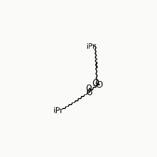 CC(C)CCCCCCCCCCCCCCCCCOC(=O)CCCC(=O)OCCCCCCCCCCCCCCCCCC(C)C